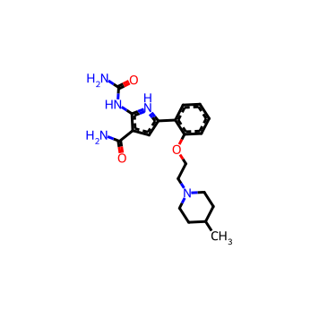 CC1CCN(CCOc2ccccc2-c2cc(C(N)=O)c(NC(N)=O)[nH]2)CC1